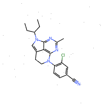 CCC(CC)n1cc2c3c(nc(C)nc31)N(c1ccc(C#N)cc1Cl)CC2